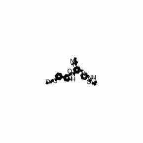 COCCOc1cccc(-c2ccnc(C(=O)Nc3cc(CN4CCC[C@H](NC(=O)OC(C)(C)C)C4)cc(-n4cnc(C)c4)c3)c2)c1